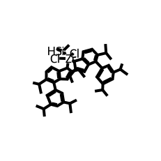 CCC1=Cc2c(ccc(C(C)C)c2-c2cc(C(C)C)cc(C(C)C)c2)[CH]1[Zr]([Cl])([Cl])([CH]1C(CC)=Cc2c1ccc(C(C)C)c2-c1cc(C(C)C)cc(C(C)C)c1)[SiH](C)C